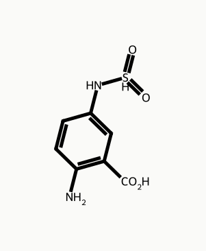 Nc1ccc(N[SH](=O)=O)cc1C(=O)O